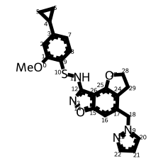 COc1cc(C2CC2)ccc1SNc1noc2cc(Cn3cccn3)c3c(c12)OCC3